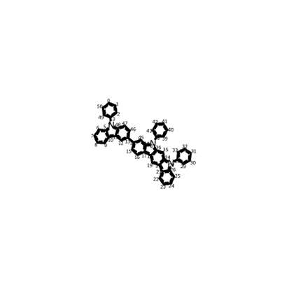 c1ccc(-n2c3ccccc3c3cc(-c4ccc5c6cc7c8ccccc8n(-c8ccccc8)c7cc6n(-c6ccccc6)c5c4)ccc32)cc1